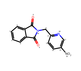 O=C1c2ccccc2C(=O)N1Cc1ccc([N+](=O)[O-])cn1